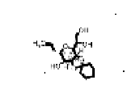 C=CC[C@@H]1O[C@@H]([C@H](O)CO)[C@H]2OC3(CCCCC3)O[C@H]2[C@H]1O